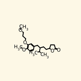 COCCCOc1cc(CC(CCC2CCC(=O)O2)C(C)C)ccc1OC